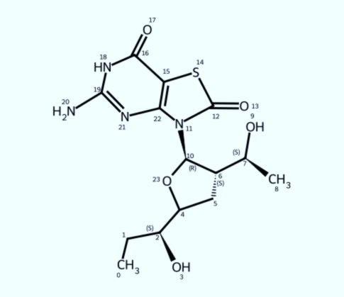 CC[C@H](O)C1C[C@@H]([C@H](C)O)[C@H](n2c(=O)sc3c(=O)[nH]c(N)nc32)O1